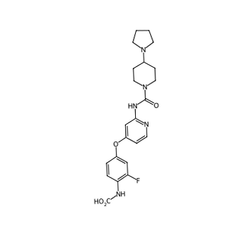 O=C(O)Nc1ccc(Oc2ccnc(NC(=O)N3CCC(N4CCCC4)CC3)c2)cc1F